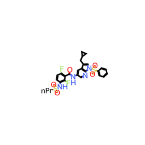 CCCS(=O)(=O)Nc1ccc(F)c(C(=O)Nc2cnc3c(c2)c(CC2CC2)cn3S(=O)(=O)c2ccccc2)c1F